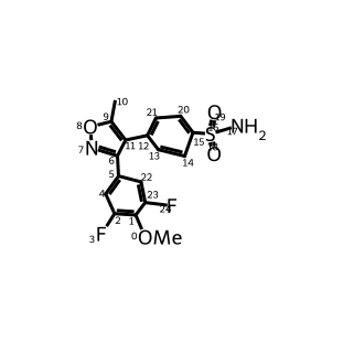 COc1c(F)cc(-c2noc(C)c2-c2ccc(S(N)(=O)=O)cc2)cc1F